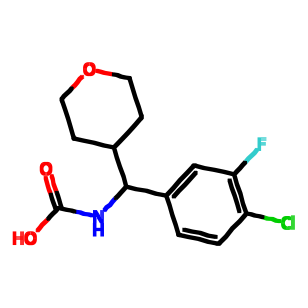 O=C(O)NC(c1ccc(Cl)c(F)c1)C1CCOCC1